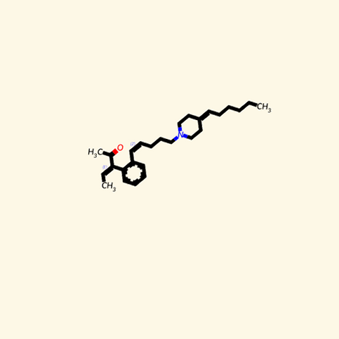 C/C=C(/C(C)=O)c1ccccc1/C=C\CCCN1CCC(=CCCCCC)CC1